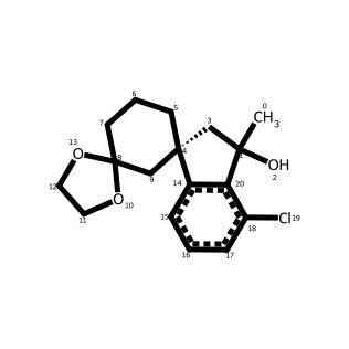 CC1(O)C[C@]2(CCCC3(C2)OCCO3)c2cccc(Cl)c21